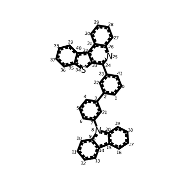 c1cc(-c2cccc(-n3c4ccccc4c4ccccc43)c2)cc(-c2nc3ccccc3c3c2sc2ccccc23)c1